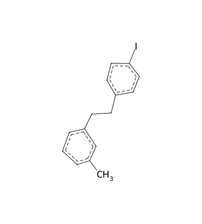 Cc1cccc(CCc2ccc(I)cc2)c1